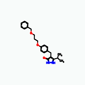 CC(C)c1[nH][nH]c(=O)c1Cc1ccc(OCCCOCc2ccccc2)cc1